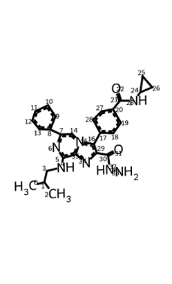 CC(C)CNc1nc(-c2ccccc2)cn2c(-c3ccc(C(=O)NC4CC4)cc3)c(C(=O)NN)nc12